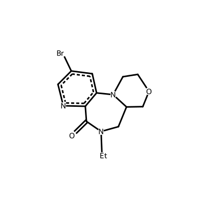 CCN1CC2COCCN2c2cc(Br)cnc2C1=O